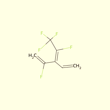 C=CC(C(=C)F)=C(F)C(F)(F)F